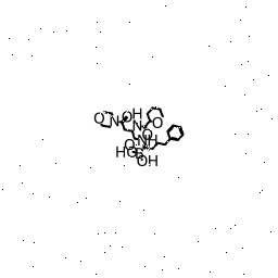 O=C(N[C@@H](CCCc1ccccc1)B(O)O)C(CC(=O)N1CCOCC1)NC(=O)C1CCCCO1